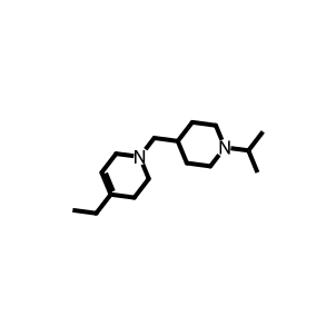 CCC1=CCN(CC2CCN(C(C)C)CC2)CC1